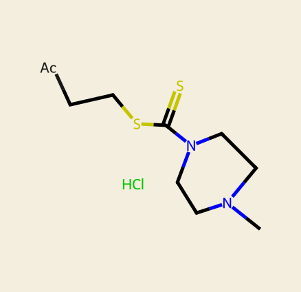 CC(=O)CCSC(=S)N1CCN(C)CC1.Cl